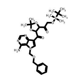 CC1(C)OC(C(=O)CO[Si](C)(C)C(C)(C)C)C(C(=O)c2cn(COCc3ccccc3)c3c(N)ncnc23)O1